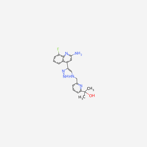 CC(C)(O)c1cccc(CN/C=C(\N=N)c2cc(N)nc3c(F)cccc23)n1